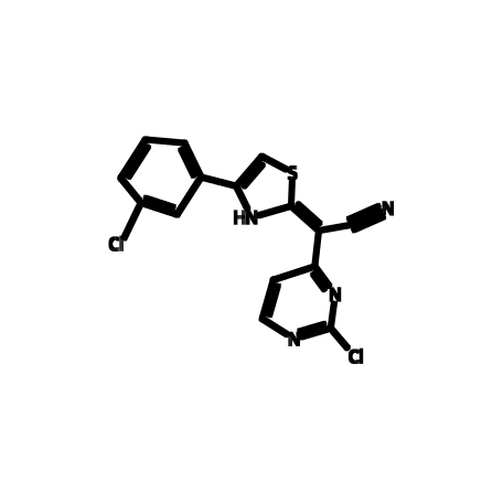 N#CC(=C1NC(c2cccc(Cl)c2)=CS1)c1ccnc(Cl)n1